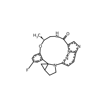 C[C@H]1CNC(=O)c2cnc3ccc(nn23)N2CCC3CC32c2cc(F)ccc2O1